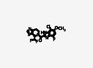 COc1cc(F)c2nc(C(=O)N3CCc4ncsc4[C@@H]3C(F)F)[nH]c2c1Cl